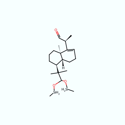 C[SiH2]OC(O[SiH2]C)C(C)(C)[C@H]1CCC[C@@]2(C)C([C@H](C)C=O)=CCC[C@H]12